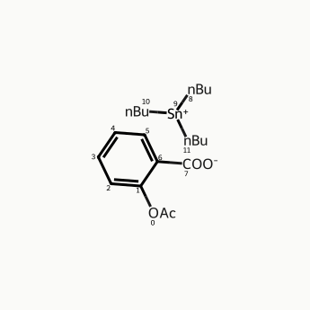 CC(=O)Oc1ccccc1C(=O)[O-].CCC[CH2][Sn+]([CH2]CCC)[CH2]CCC